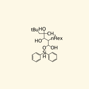 CCCCCCC(C(O)O[SiH](c1ccccc1)c1ccccc1)C(O)C(C)(O)CC(C)(C)C